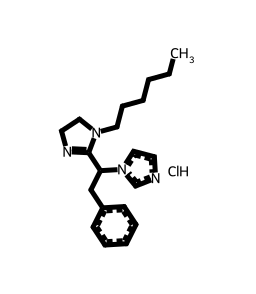 CCCCCCN1CCN=C1C(Cc1ccccc1)n1ccnc1.Cl